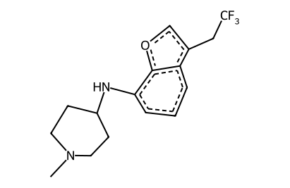 CN1CCC(Nc2cccc3c(CC(F)(F)F)coc23)CC1